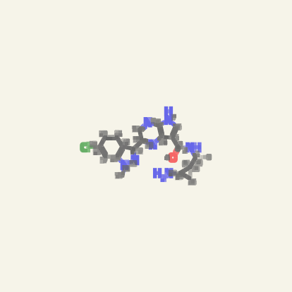 C[C@@H](NC(=O)c1c[nH]c2ncc(-c3nn(C)c4cc(Cl)ccc34)nc12)[C@@H]1C[C@@H]1N